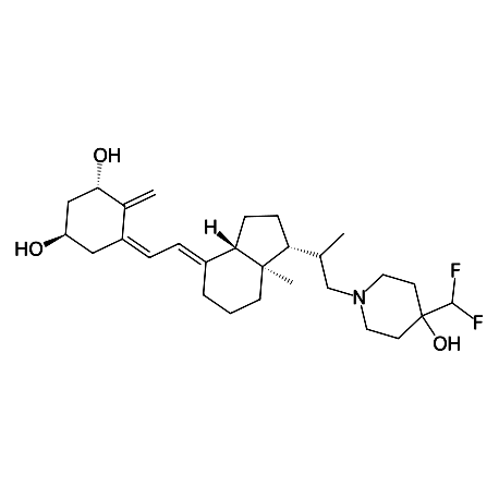 C=C1/C(=C\C=C2/CCC[C@]3(C)[C@@H](C(C)CN4CCC(O)(C(F)F)CC4)CC[C@@H]23)C[C@@H](O)C[C@@H]1O